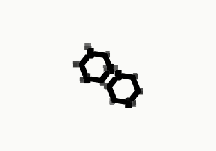 C1CSCCS1.C1SCSCS1